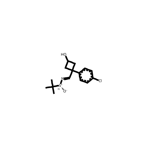 CC(C)(C)[S@@+]([O-])N=CC1(c2ccc(Cl)cc2)CC(O)C1